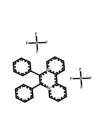 F[B-](F)(F)F.F[B-](F)(F)F.c1ccc(-c2c(-c3ccccc3)[n+]3ccccc3c3cccc[n+]23)cc1